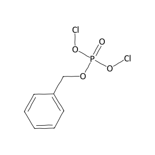 O=P(OCl)(OCl)OCc1ccccc1